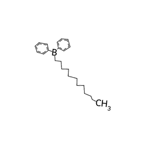 CCCCCCCCCCCCB(c1ccccc1)c1ccccc1